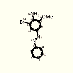 COc1cc(N=Nc2ccccc2)cc(Br)c1N